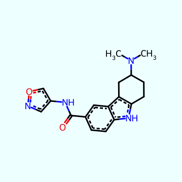 CN(C)C1CCc2[nH]c3ccc(C(=O)Nc4cnoc4)cc3c2C1